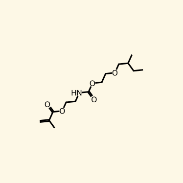 C=C(C)C(=O)OCCNC(=O)OCCOCC(C)CC